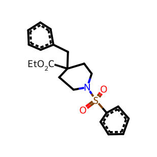 CCOC(=O)C1(Cc2ccccc2)CCN(S(=O)(=O)c2ccccc2)CC1